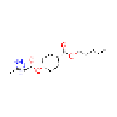 CCCCCOC(=O)C1CCC(OC(=O)/C=C(/C)N)CC1